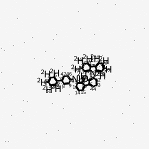 [2H]c1c([2H])c([2H])c(-c2ccc(Nc3cccc4c3oc3c(-n5c6c([2H])c([2H])c([2H])c([2H])c6c6c([2H])c([2H])c([2H])c([2H])c65)cccc34)cc2)c([2H])c1[2H]